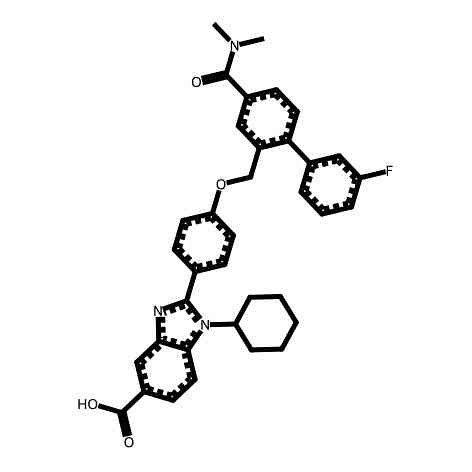 CN(C)C(=O)c1ccc(-c2cccc(F)c2)c(COc2ccc(-c3nc4cc(C(=O)O)ccc4n3C3CCCCC3)cc2)c1